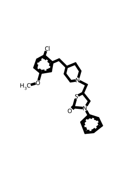 COc1ccc(Cl)c(CC2CCN(CC3CN(c4ccccc4)C(=O)S3)CC2)c1